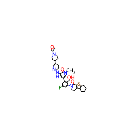 Cn1cc(-c2cc(F)cc(N3CCc4c(sc5c4CCCC5)C3=O)c2CO)cc(Nc2ccc(C3CCN(C4COC4)CC3)cn2)c1=O